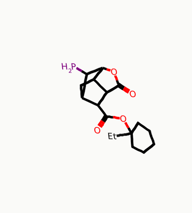 CCC1(OC(=O)C2C3CC4C(OC(=O)C42)C3P)CCCCC1